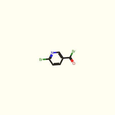 O=C(Br)c1ccc(Br)nc1